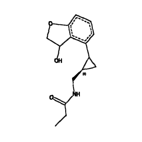 CCC(=O)NC[C@@H]1CC1c1cccc2c1C(O)CO2